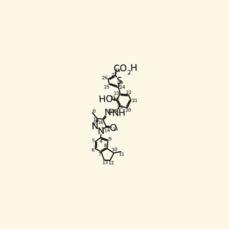 CC1=NN(c2ccc3c(c2)C(C)CC3)C(=O)C1=NNc1cccc(-c2ccc(C(=O)O)s2)c1O